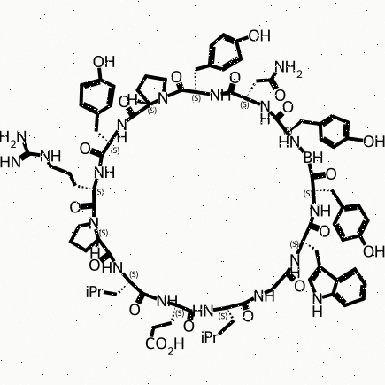 CC(C)C[C@@H]1NC(=O)[C@H](CCC(=O)O)NC(=O)[C@H](CC(C)C)NC(=O)[C@@H]2CCCN2C(=O)[C@H](CCCNC(=N)N)NC(=O)[C@H](Cc2ccc(O)cc2)NC(=O)[C@@H]2CCCN2C(=O)[C@H](Cc2ccc(O)cc2)NC(=O)[C@H](CC(N)=O)NC(=O)[C@@H](Cc2ccc(O)cc2)NBC(=O)[C@H](Cc2ccc(O)cc2)NC(=O)[C@H](Cc2c[nH]c3ccccc23)NC(=O)CNC1=O